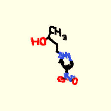 CC(O)CCn1cc([N+](=O)[O-])cn1